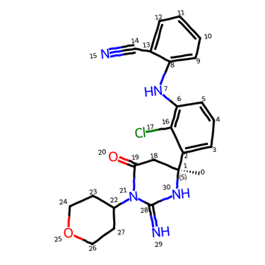 C[C@@]1(c2cccc(Nc3ccccc3C#N)c2Cl)CC(=O)N(C2CCOCC2)C(=N)N1